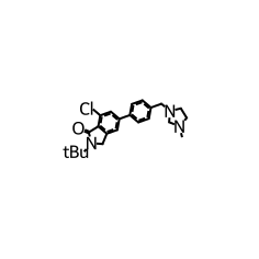 CN1CCN(Cc2ccc(-c3cc(Cl)c4c(c3)CN(C(C)(C)C)C4=O)cc2)C1